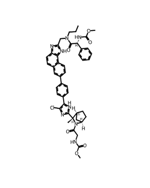 CCCN(Cc1nc2ccc3cc(-c4ccc(-c5[nH]c([C@]6(C)[C@H]7CC[C@H](C7)N6C(=O)CNC(=O)OC)nc5Cl)cc4)ccc3c2[nH]1)C(=O)[C@H](NC(=O)OC)c1ccccc1